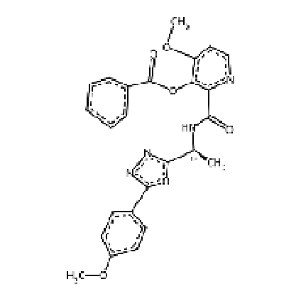 COc1ccc(-c2nnc([C@H](C)NC(=O)c3nccc(OC)c3OC(=O)c3ccccc3)o2)cc1